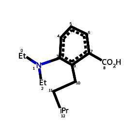 CCN(CC)c1cccc(C(=O)O)c1CCC(C)C